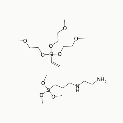 C=C[Si](OCCOC)(OCCOC)OCCOC.CO[Si](CCCNCCN)(OC)OC